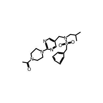 CC(=O)N1CCN(c2ncc(CN(CC(C)C)S(=O)(=O)Cc3ccccc3)cn2)CC1